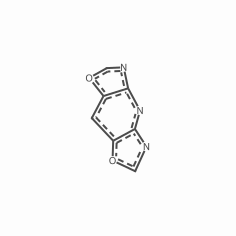 c1nc2nc3ncoc3cc2o1